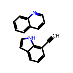 C#Cc1cccc2cc[nH]c12.c1ccc2ncccc2c1